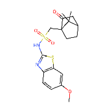 COc1ccc2nc(NS(=O)(=O)CC34CCC(CC3=O)C4(C)C)sc2c1